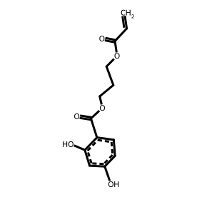 C=CC(=O)OCCCOC(=O)c1ccc(O)cc1O